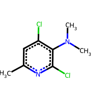 Cc1cc(Cl)c(N(C)C)c(Cl)n1